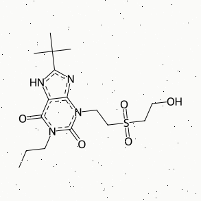 CCCn1c(=O)c2[nH]c(C(C)(C)C)nc2n(CCS(=O)(=O)CCO)c1=O